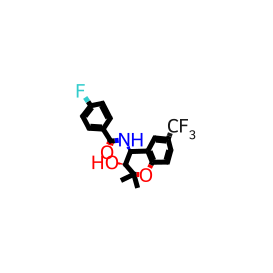 CC1(C)Oc2ccc(C(F)(F)F)cc2[C@H](NC(=O)c2ccc(F)cc2)[C@H]1O